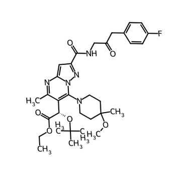 CCOC(=O)[C@@H](OC(C)(C)C)c1c(C)nc2cc(C(=O)NCC(=O)Cc3ccc(F)cc3)nn2c1N1CCC(C)(OC)CC1